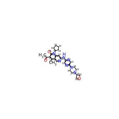 CC(=O)c1c(C)c2cnc(Nc3cnc(N4CCN(C5COC5)CC4)cn3)cc2n(C2CCCC2)c1=O